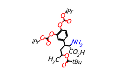 CC(C)OC(=O)Oc1ccc(C(CC(C)OC(=O)C(C)(C)C)[C@H](N)C(=O)O)cc1OC(=O)OC(C)C